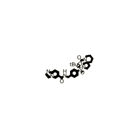 CC(C)(C)OC(=O)N1CCCCC12CCN(S(=O)(=O)c1ccc(CNC(=O)c3ccc4nccn4c3)cc1)C2